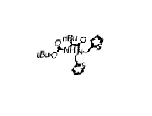 [CH2]CCC[C@H](NC(=O)OC(C)(C)C)C(=O)N(Cc1cccs1)Cc1cccs1